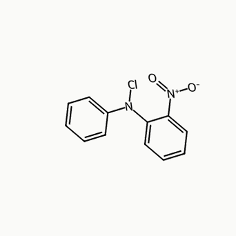 O=[N+]([O-])c1ccccc1N(Cl)c1ccccc1